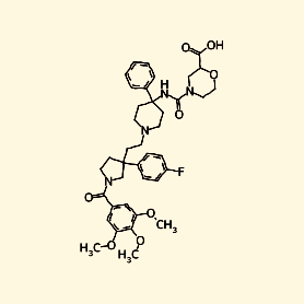 COc1cc(C(=O)N2CCC(CCN3CCC(NC(=O)N4CCOC(C(=O)O)C4)(c4ccccc4)CC3)(c3ccc(F)cc3)C2)cc(OC)c1OC